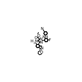 CCOC(=O)c1nc(-c2ccc(F)cc2Nc2cccc(C#N)c2)nc(-c2c(C)ccc3c2cnn3C2CCCCO2)c1N